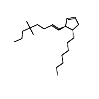 CCCCCCC[C@H]1CC=C[C@@H]1/C=C/CCC(C)(C)CCC